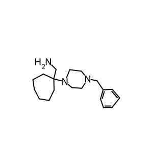 NCC1(N2CCN(Cc3ccccc3)CC2)CCCCCC1